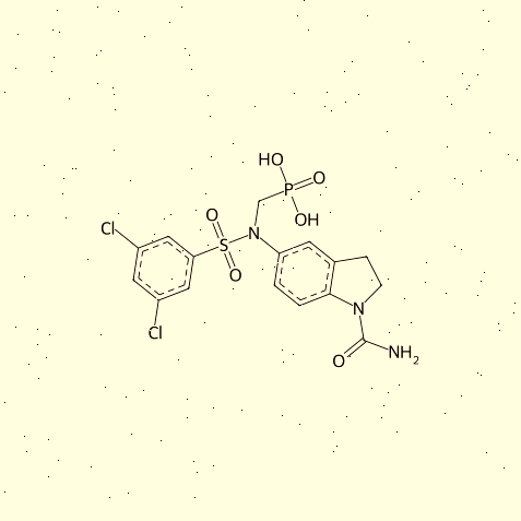 NC(=O)N1CCc2cc(N(CP(=O)(O)O)S(=O)(=O)c3cc(Cl)cc(Cl)c3)ccc21